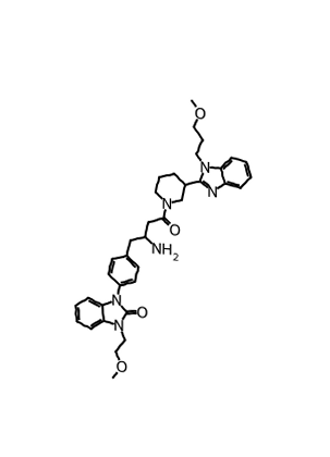 COCCCn1c(C2CCCN(C(=O)CC(N)Cc3ccc(-n4c(=O)n(CCOC)c5ccccc54)cc3)C2)nc2ccccc21